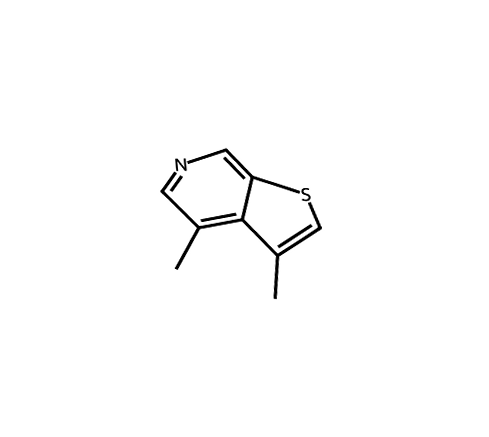 Cc1cncc2scc(C)c12